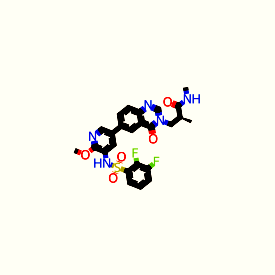 CNC(=O)[C@@H](C)Cn1cnc2ccc(-c3cnc(OC)c(NS(=O)(=O)c4cccc(F)c4F)c3)cc2c1=O